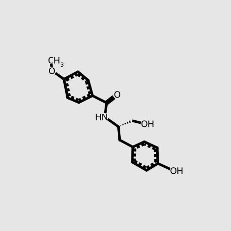 COc1ccc(C(=O)N[C@H](CO)Cc2ccc(O)cc2)cc1